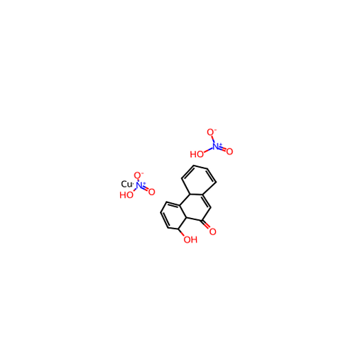 O=C1C=C2C=CC=CC2C2=CC=CC(O)C12.O=[N+]([O-])O.O=[N+]([O-])O.[Cu]